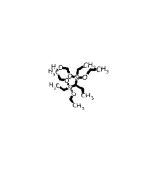 CCO[Si](CC)(OCC)C(CC)[Si](CC)(OCC)OCC